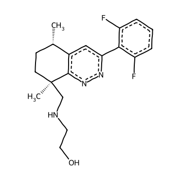 C[C@H]1CC[C@](C)(CNCCO)c2nnc(-c3c(F)cccc3F)cc21